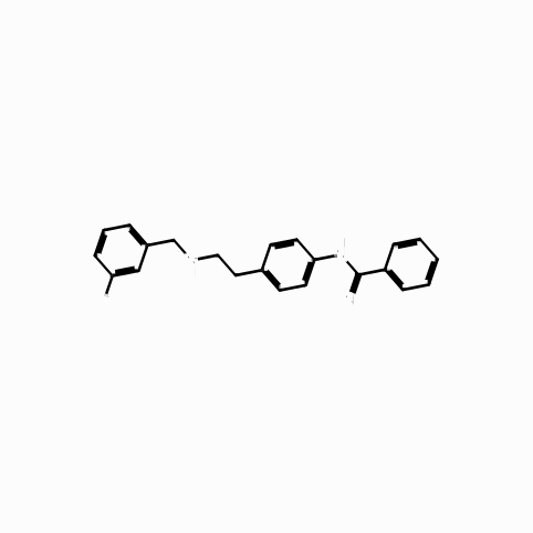 N=C(Nc1ccc(CCNCc2cccc(Cl)c2)cc1)c1ccccc1